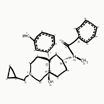 COc1cccc([C@@]23CCN(CC4CC4)C[C@@]2(O)CC[C@@H](N(C)C(=O)c2ccccc2)C3)c1